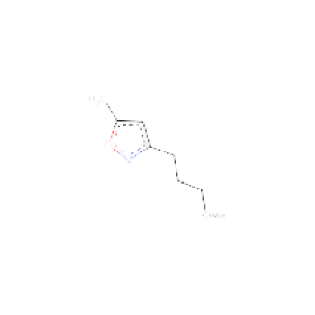 COCCCc1cc(C)on1